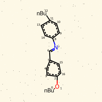 CCCCOc1ccc(C=Nc2ccc(CCCC)cc2)cc1